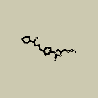 COCC1CN(c2ccc(CCCC(O)C3CCCCC3)cc2)C(=O)O1